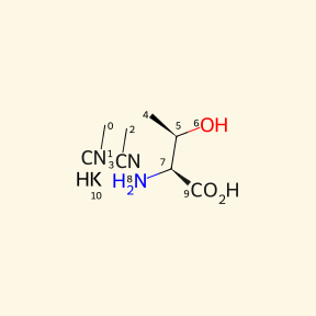 CC#N.CC#N.C[C@@H](O)[C@H](N)C(=O)O.[KH]